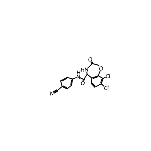 N#Cc1ccc(NC(=O)C2NC(=O)COc3c2ccc(Cl)c3Cl)cc1